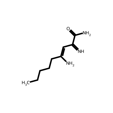 CCCCC/C(N)=C/C(=N)C(N)=O